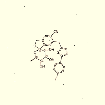 C[C@H]1O[C@]2(OCc3cc(C#N)c(Cc4ccc(-c5ccc(F)cc5)s4)cc32)[C@H](O)[C@@H](O)[C@@H]1O